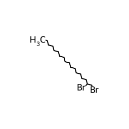 CCCCCCCCCCCCCCCCC(Br)CBr